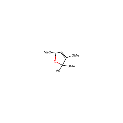 COC1=CC(OC)OC1(OC)C(C)=O